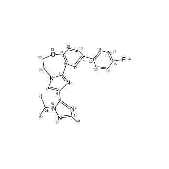 Cc1nc(-c2cn3c(n2)-c2cc(-c4ccc(F)nc4)ccc2OCC3)n(C(C)C)n1